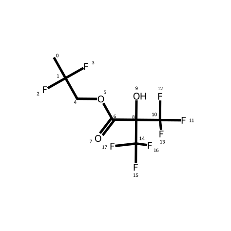 CC(F)(F)COC(=O)C(O)(C(F)(F)F)C(F)(F)F